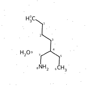 CCCCC(CC)CN.O